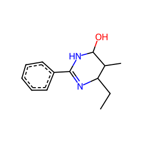 CCC1N=C(c2ccccc2)NC(O)C1C